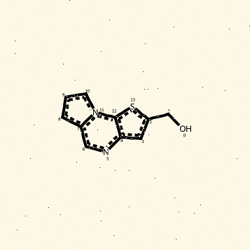 OCc1cc2ncc3cccn3c2s1